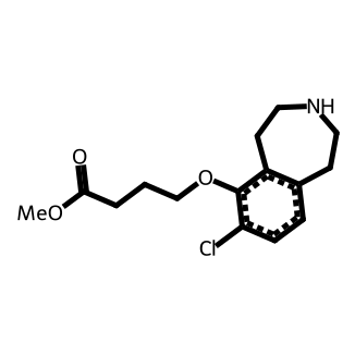 COC(=O)CCCOc1c(Cl)ccc2c1CCNCC2